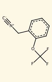 [C-]#[N+]Cc1ccccc1OC(F)(F)F